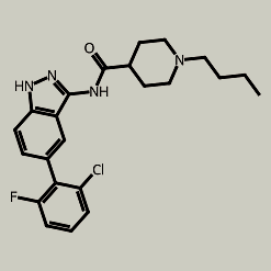 CCCCN1CCC(C(=O)Nc2n[nH]c3ccc(-c4c(F)cccc4Cl)cc23)CC1